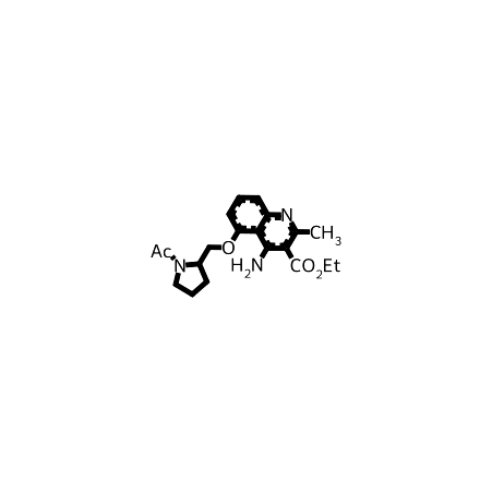 CCOC(=O)c1c(C)nc2cccc(OCC3CCCN3C(C)=O)c2c1N